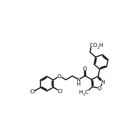 Cc1onc(-c2cccc(CC(=O)O)c2)c1C(=O)NCCOc1ccc(Cl)cc1Cl